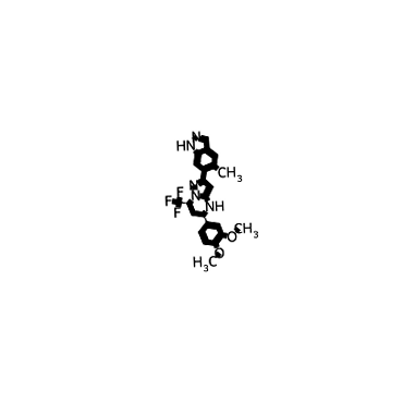 COc1ccc([C@@H]2C[C@H](C(F)(F)F)n3nc(-c4cc5[nH]ncc5cc4C)cc3N2)cc1OC